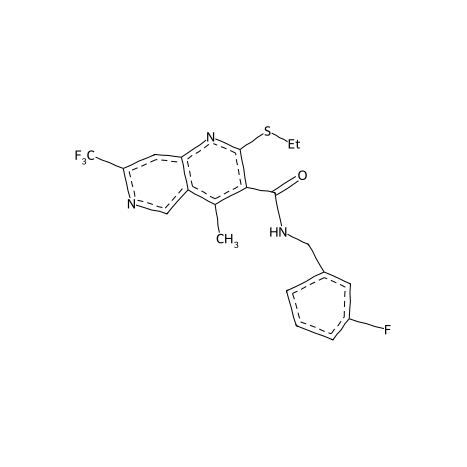 CCSc1nc2cc(C(F)(F)F)ncc2c(C)c1C(=O)NCc1cccc(F)c1